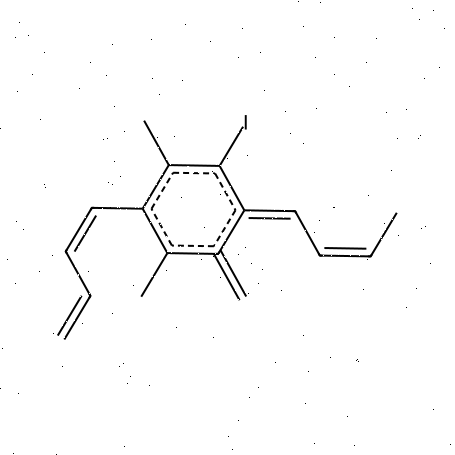 C=C/C=C\c1c(C)c(I)/c(=C/C=C\C)c(=C)c1C